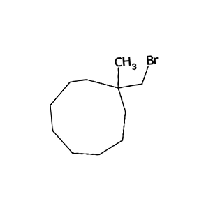 CC1(CBr)CCCCCCCC1